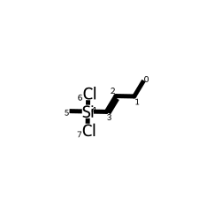 CCC=C[Si](C)(Cl)Cl